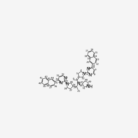 CC(C1CCN(c2nccc(-c3ccc4ccccc4c3)n2)C1)N(C(C)C1CCN(c2nccc(-c3ccc4ccccc4c3)n2)C1)[C@@H]1CCNC1